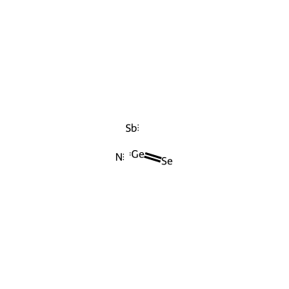 [Ge]=[Se].[N].[Sb]